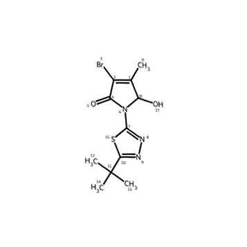 CC1=C(Br)C(=O)N(c2nnc(C(C)(C)C)s2)C1O